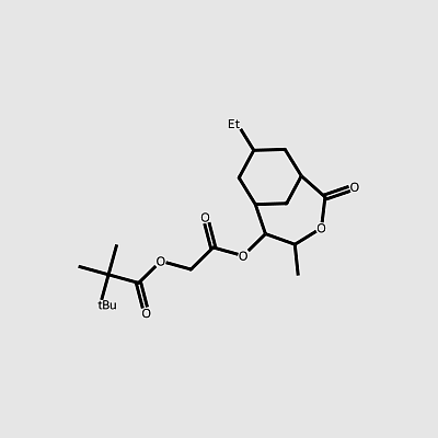 CCC1CC2CC(C1)C(OC(=O)COC(=O)C(C)(C)C(C)(C)C)C(C)OC2=O